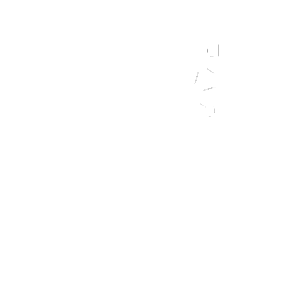 CCCCCCCCCCCCCCCCCC(=O)c1ccc(Cl)cc1